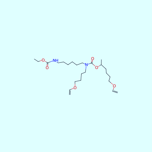 C=COCCCCC(C)OC(=O)N(CCCCCCNC(=O)OCC)CCCCOC=C